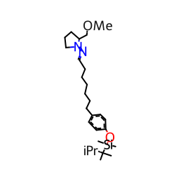 COCC1CCCN1N=CCCCCCCc1ccc(O[Si](C)(C)C(C)(C)C(C)C)cc1